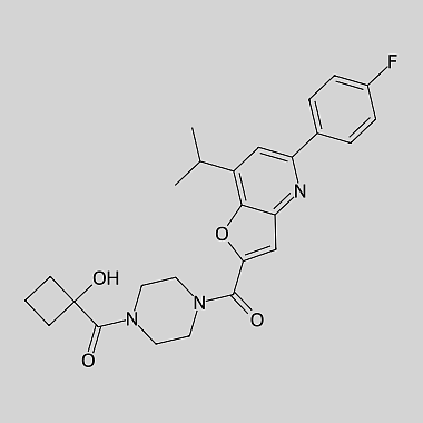 CC(C)c1cc(-c2ccc(F)cc2)nc2cc(C(=O)N3CCN(C(=O)C4(O)CCC4)CC3)oc12